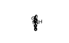 CCOC(=O)c1ccc2[nH]c(-c3ccc(N4CCCCC4)cc3)nc2c1